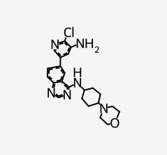 Nc1cc(-c2ccc3ncnc(NC4CCC(N5CCOCC5)CC4)c3c2)cnc1Cl